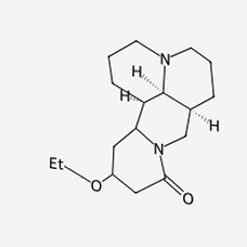 CCOC1CC(=O)N2C[C@@H]3CCCN4CCC[C@H](C2C1)[C@H]34